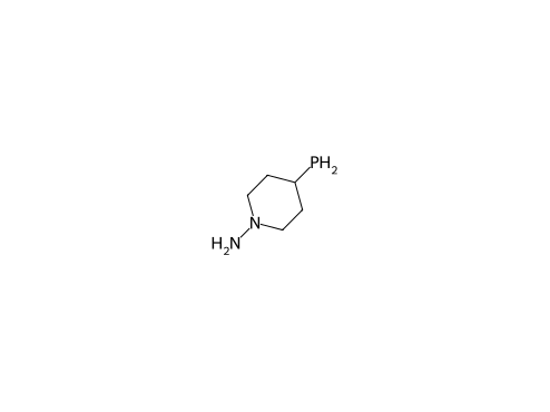 NN1CCC(P)CC1